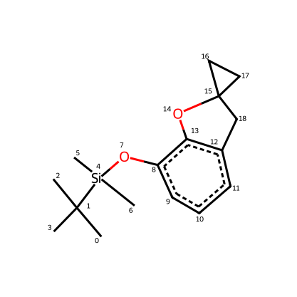 CC(C)(C)[Si](C)(C)Oc1cccc2c1OC1(CC1)C2